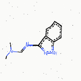 CN(C)C=Nc1n[nH]c2ccccc12